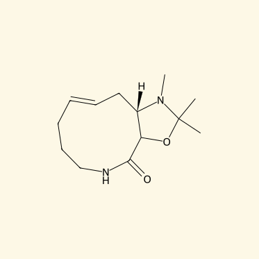 CN1[C@H]2C/C=C/CCCNC(=O)C2OC1(C)C